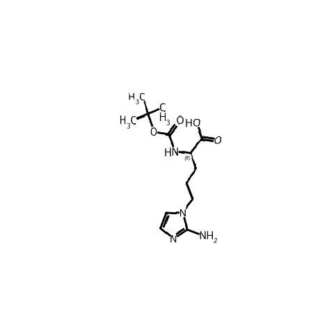 CC(C)(C)OC(=O)N[C@H](CCCn1ccnc1N)C(=O)O